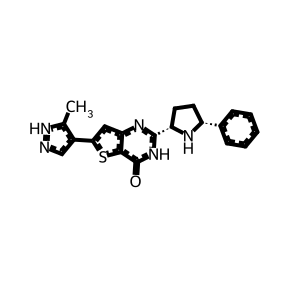 Cc1[nH]ncc1-c1cc2nc([C@@H]3CC[C@H](c4ccccc4)N3)[nH]c(=O)c2s1